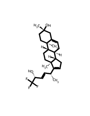 C[C@H](/C=C/[C@@H](O)C(F)(F)F)C1=CC[C@H]2[C@@H]3CC=C4C[C@@](C)(O)CC[C@]4(C)[C@H]3CC[C@]12C